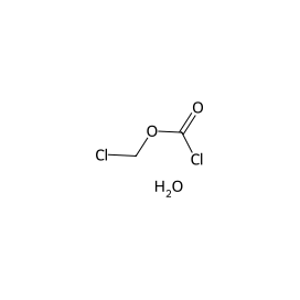 O.O=C(Cl)OCCl